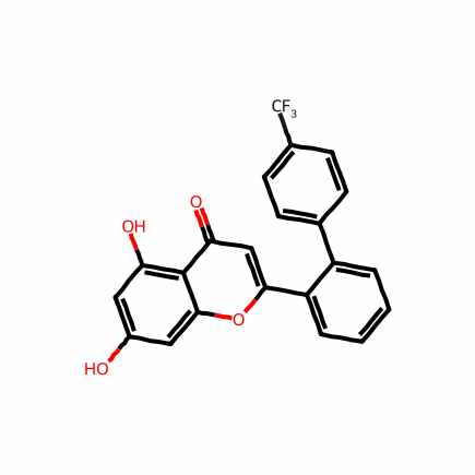 O=c1cc(-c2ccccc2-c2ccc(C(F)(F)F)cc2)oc2cc(O)cc(O)c12